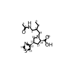 CCC(CNC(C)=O)CN1C[C@H](c2cscn2)C[C@@H]1C(=O)O